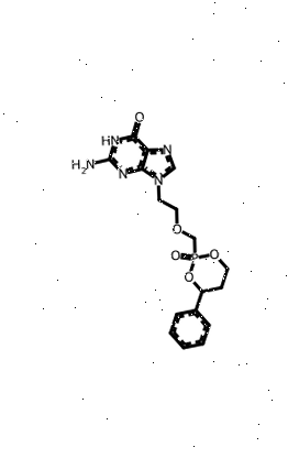 Nc1nc2c(ncn2CCOCP2(=O)OCCC(c3ccccc3)O2)c(=O)[nH]1